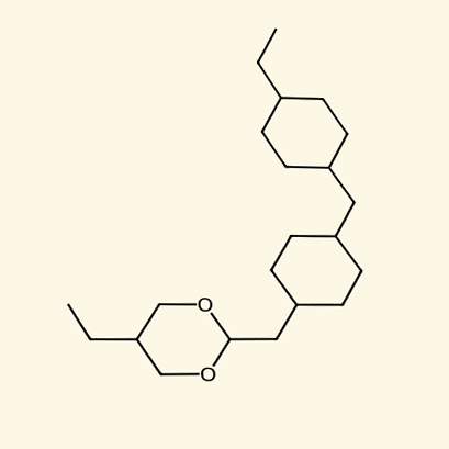 CCC1CCC(CC2CCC(CC3OCC(CC)CO3)CC2)CC1